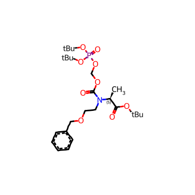 C[C@@H](C(=O)OC(C)(C)C)N(CCOCc1ccccc1)C(=O)OCOP(=O)(OC(C)(C)C)OC(C)(C)C